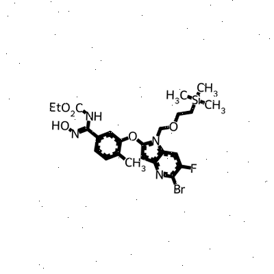 CCOC(=O)N/C(=N\O)c1ccc(C)c(Oc2cc3nc(Br)c(F)cc3n2COCC[Si](C)(C)C)c1